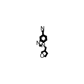 N#Cc1ccc2c(c1)ncn2CC1CCOC1